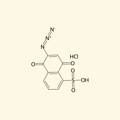 Cl.[N-]=[N+]=NC1=CC(=O)c2c(cccc2S(=O)(=O)O)C1=O